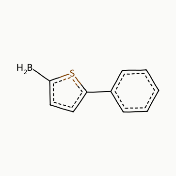 Bc1ccc(-c2ccccc2)s1